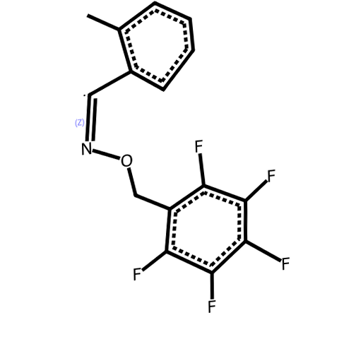 Cc1ccccc1/[C]=N\OCc1c(F)c(F)c(F)c(F)c1F